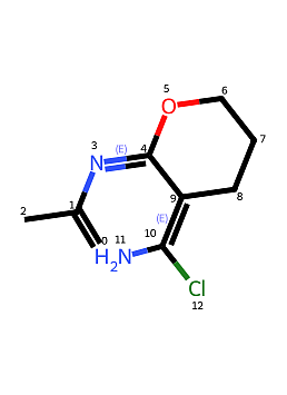 C=C(C)/N=C1/OCCC/C1=C(/N)Cl